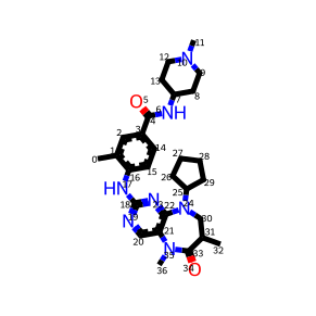 Cc1cc(C(=O)NC2CCN(C)CC2)ccc1Nc1ncc2c(n1)N(C1CCCC1)CC(C)C(=O)N2C